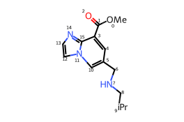 COC(=O)c1cc(CNCC(C)C)cn2ccnc12